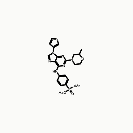 COP(=O)(OC)c1ccc(Nc2nc(N3CCOC(C)C3)nc3c2ncn3-c2ccsc2)cc1